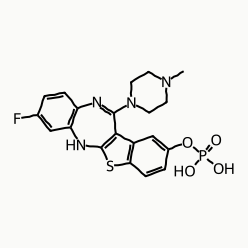 CN1CCN(C2=Nc3ccc(F)cc3Nc3sc4ccc(OP(=O)(O)O)cc4c32)CC1